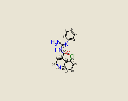 NC(=Nc1ccccc1)NC(=O)c1ccnc2cccc(Cl)c12